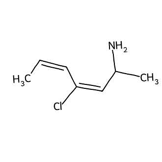 C/C=C\C(Cl)=C/C(C)N